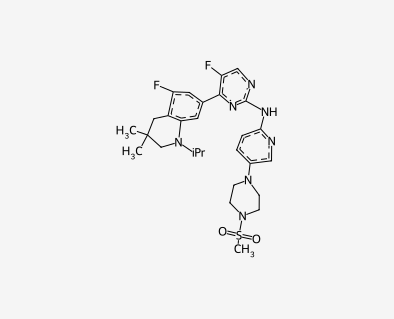 CC(C)N1CC(C)(C)Cc2c(F)cc(-c3nc(Nc4ccc(N5CCN(S(C)(=O)=O)CC5)cn4)ncc3F)cc21